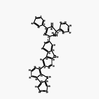 c1ccc(C2=NC(c3ccc4c(c3)oc3ccc(-c5cccc6c5sc5ccccc56)cc34)NC(c3ccccc3)N2)cc1